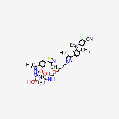 CCN(c1ccc(C#N)c(Cl)c1)c1cc(-c2nn(CCCCCOCC(=O)N[C@H](C(=O)N3C[C@H](O)C[C@H]3C(=O)N[C@@H](C)c3ccc(-c4scnc4C)cc3)C(C)(C)C)cc2C)ccc1C